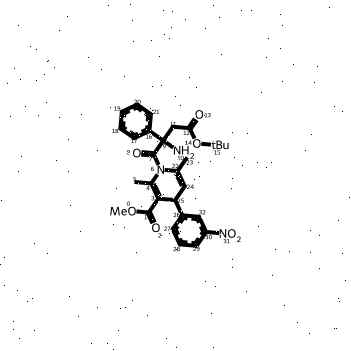 COC(=O)C1=C(C)N(C(=O)C(N)(CC(=O)OC(C)(C)C)c2ccccc2)C(C)=CC1c1cccc([N+](=O)[O-])c1